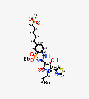 CCOP1(=O)N=C(C2=C(O)[C@H](c3cscn3)N(CCC(C)(C)C)C2=O)Nc2ccc(CCCCCS(C)(=O)=O)cc21